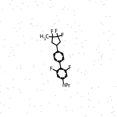 CCCc1cc(F)c(-c2ccc(C3CC(C)(F)C(F)(F)C3)cc2)c(F)c1